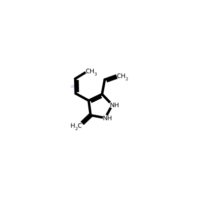 C=CC1=C(/C=C\C)C(=C)NN1